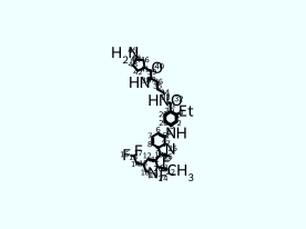 CCc1cc(NC2=CC=CC3C(C4=CC(CC(F)F)CN=C4C(C)(F)F)=CN=C23)ccc1C(=O)NCCCC(=N)C(=O)C1CC[C@@H](N)C1